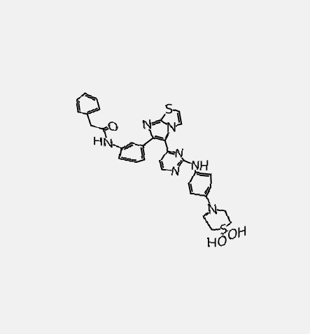 O=C(Cc1ccccc1)Nc1cccc(-c2nc3sccn3c2-c2ccnc(Nc3ccc(N4CCS(O)(O)CC4)cc3)n2)c1